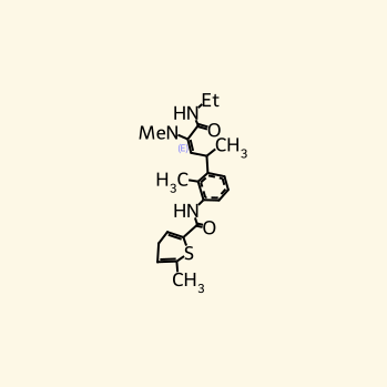 CCNC(=O)/C(=C\C(C)c1cccc(NC(=O)C2=CCC=C(C)S2)c1C)NC